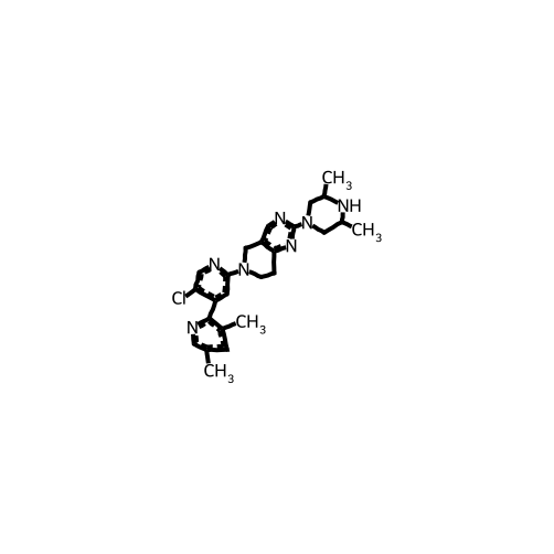 Cc1cnc(-c2cc(N3CCc4nc(N5CC(C)NC(C)C5)ncc4C3)ncc2Cl)c(C)c1